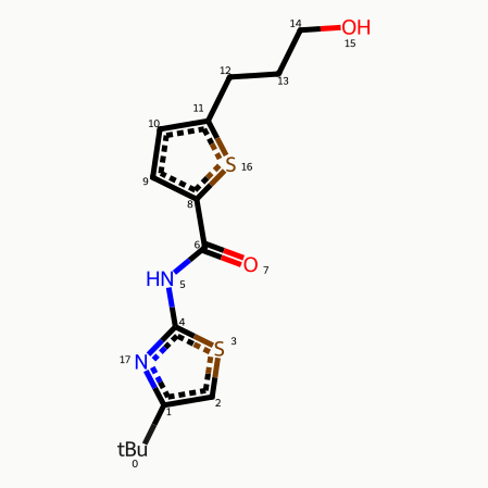 CC(C)(C)c1csc(NC(=O)c2ccc(CCCO)s2)n1